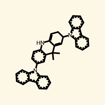 CC1(C)C2=CC(n3c4ccccc4c4ccccc43)CC=C2Nc2ccc(-n3c4ccccc4c4ccccc43)cc21